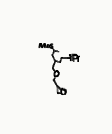 CSC(C)CC(CCC(C)C)COCC1CO1